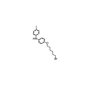 BrCCCCCCOc1ccc(Nc2ccc(I)cc2)cc1